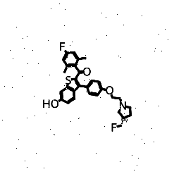 Cc1cc(F)cc(C)c1C(=O)c1sc2cc(O)ccc2c1-c1ccc(OCCN2CC[C@H](CF)C2)cc1